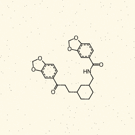 O=C(CCC1CCCC(CNC(=O)c2ccc3c(c2)OCO3)C1)c1ccc2c(c1)OCO2